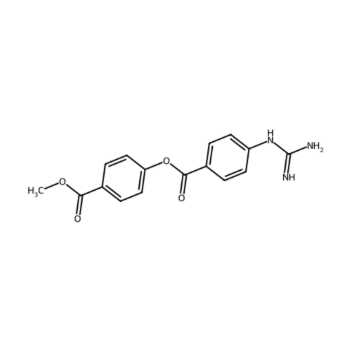 COC(=O)c1ccc(OC(=O)c2ccc(NC(=N)N)cc2)cc1